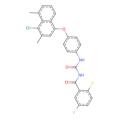 Cc1cc(Oc2ccc(NC(=O)NC(=O)c3cc(F)ccc3F)cc2)c2cccc(C)c2c1Cl